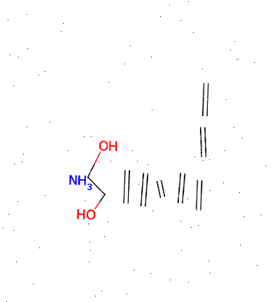 C=C.C=C.C=C.C=C.C=C.C=C.C=C.N.OCCO